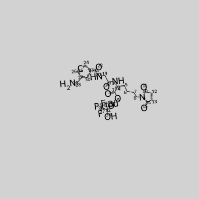 CC(C)(C)OC(=O)[C@H](CCCCN1C(=O)C=CC1=O)NC(=O)CNC(=O)c1cccc(CN)c1.O=C(O)C(F)(F)F